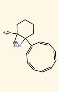 CCCCC1(C)CCCCC1(N)c1ccccccccc1